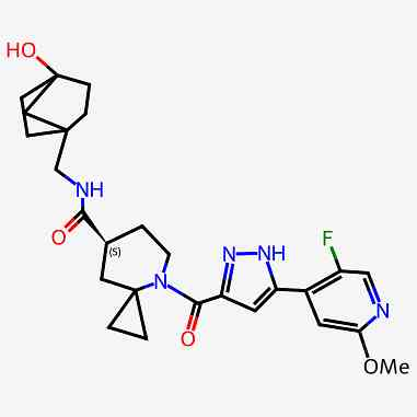 COc1cc(-c2cc(C(=O)N3CC[C@H](C(=O)NCC45CCC(O)(CC4)C5)CC34CC4)n[nH]2)c(F)cn1